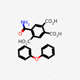 NC(=O)c1cc(C(=O)O)c(C(=O)O)cc1C(=O)O.c1ccc(Oc2ccccc2)cc1